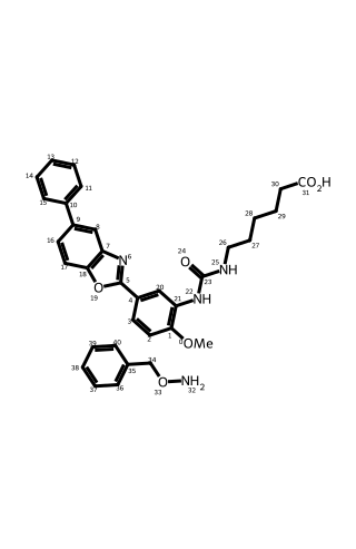 COc1ccc(-c2nc3cc(-c4ccccc4)ccc3o2)cc1NC(=O)NCCCCCC(=O)O.NOCc1ccccc1